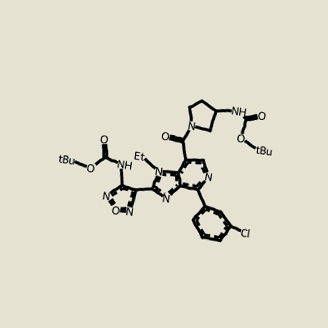 CCn1c(-c2nonc2NC(=O)OC(C)(C)C)nc2c(-c3cccc(Cl)c3)ncc(C(=O)N3CCC(NC(=O)OC(C)(C)C)C3)c21